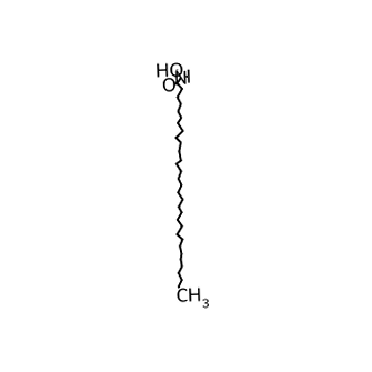 CCCCCCCCCCCCCCCCCCCCCCCCCCCCCCCC(=O)N(O)I